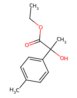 CCOC(=O)C(C)(O)c1ccc(C)cc1